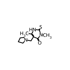 Cc1[nH]c(=S)n(C)c(=O)c1CN1CCCC1